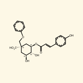 O=C(C=Cc1ccc(O)cc1)O[C@@H]1C[C@@](COc2ccccc2)(C(=O)O)C[C@H](O)[C@H]1O